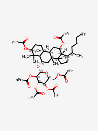 CCCC(=O)OC[C@H]1O[C@@H](O[C@H]2C[C@]3(C)[C@H](C[C@@H](OC(=O)CCC)[C@@H]4[C@@H]([C@H](C)CCCC(C)C)CC[C@@]43C)[C@@]3(C)CC[C@H](OC(=O)CCC)C(C)(C)C23)[C@H](OC(=O)CCC)[C@@H](OC(=O)CCC)[C@@H]1OC(=O)CCC